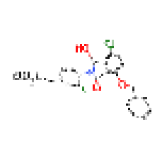 CCOC(=O)Cc1ccc(N2C(=O)c3c(OCc4ccccc4)ccc(Cl)c3C2O)c(Cl)c1